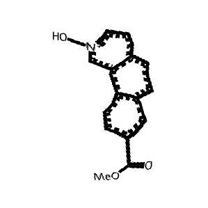 COC(=O)c1ccc2c(ccc3cc[n+](O)cc32)c1